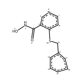 O=C(NO)c1cnccc1SCc1ccccc1